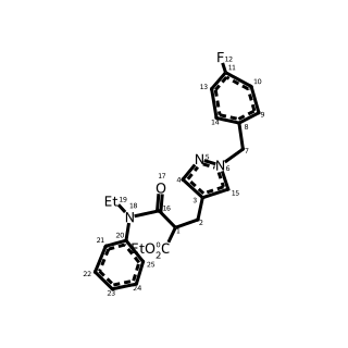 CCOC(=O)C(Cc1cnn(Cc2ccc(F)cc2)c1)C(=O)N(CC)c1ccccc1